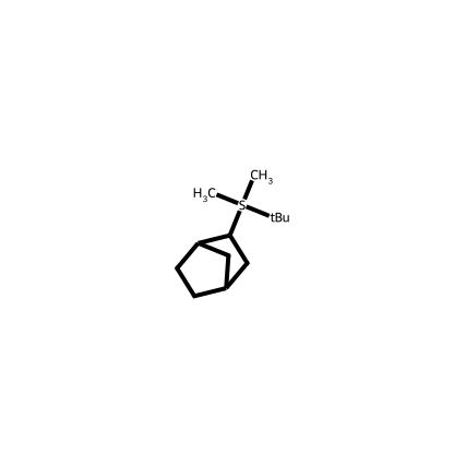 CC(C)(C)S(C)(C)C1CC2CCC1C2